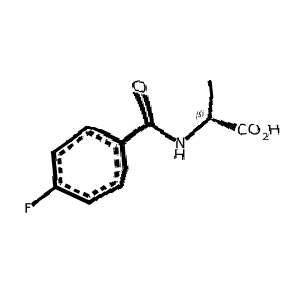 C[C@H](NC(=O)c1ccc(F)cc1)C(=O)O